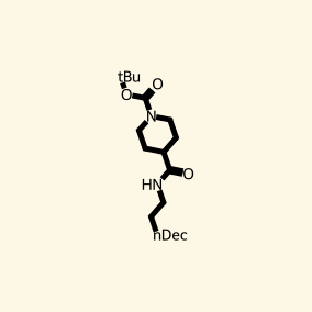 CCCCCCCCCCCCNC(=O)C1CCN(C(=O)OC(C)(C)C)CC1